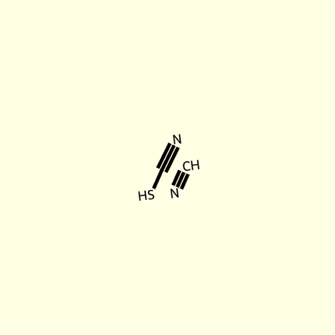 C#N.N#CS